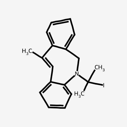 C/C1=C\c2ccccc2N(C(C)(C)I)Cc2ccccc21